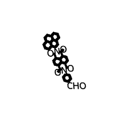 O=Cc1ccc(N2C(=O)c3ccc4c5c(ccc(c35)C2=O)C(=O)N(c2cc3cccc5ccc6cccc2c6c53)C4=O)cc1